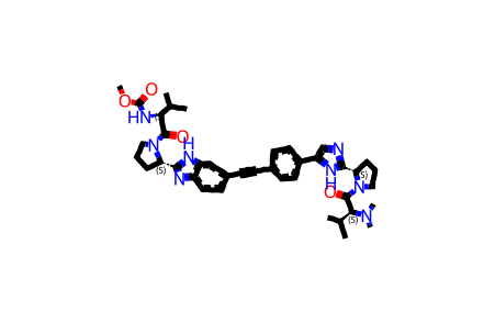 COC(=O)N[C@H](C(=O)N1CCC[C@H]1c1nc2ccc(C#Cc3ccc(-c4cnc([C@@H]5CCCN5C(=O)[C@H](C(C)C)N(C)C)[nH]4)cc3)cc2[nH]1)C(C)C